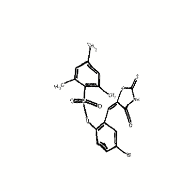 Cc1cc(C)c(S(=O)(=O)Oc2ccc(Br)cc2C=C2SC(=S)NC2=O)c(C)c1